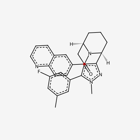 Cc1cc(F)cc(-c2c3c(nn2C)[C@@H]2CCC[C@H](C3)N2C(=O)c2ccc3ncccc3c2)c1